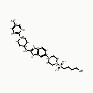 O=S(=O)(CCCCO)N1CCN(c2ccc3nc(OC4CCN(c5ncc(Cl)cn5)CC4)sc3c2)CC1